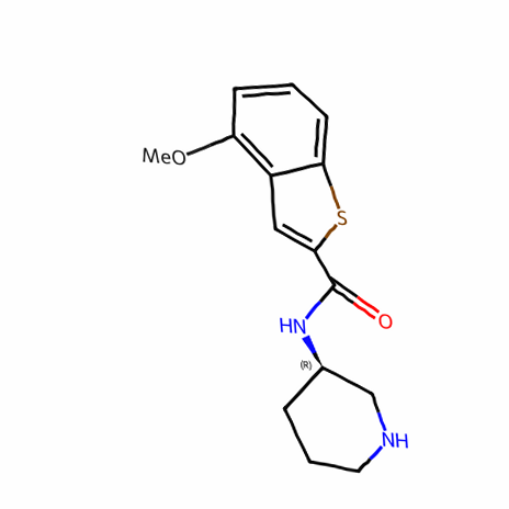 COc1cccc2sc(C(=O)N[C@@H]3CCCNC3)cc12